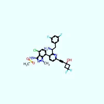 Cn1nc(NS(C)(=O)=O)c2c(Cl)ccc(-c3ccc(C#CC4(O)CC(F)(F)C4)nc3C(N)Cc3cc(F)cc(F)c3)c21